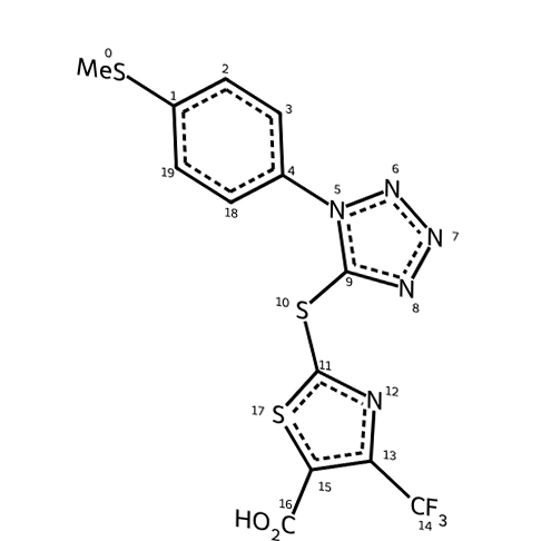 CSc1ccc(-n2nnnc2Sc2nc(C(F)(F)F)c(C(=O)O)s2)cc1